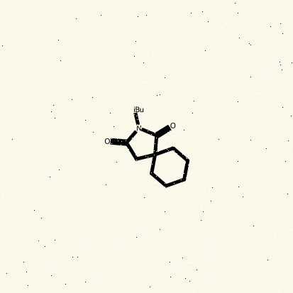 CCC(C)N1C(=O)CC2(CCCCC2)C1=O